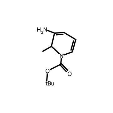 CC1C(N)=CC=CN1C(=O)OC(C)(C)C